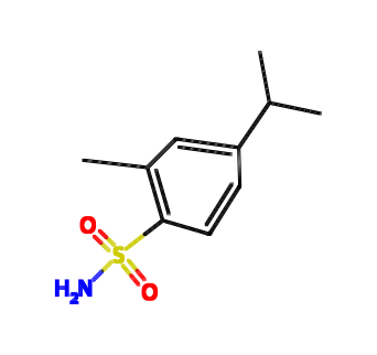 Cc1cc(C(C)C)ccc1S(N)(=O)=O